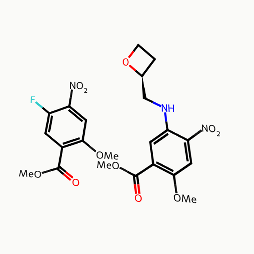 COC(=O)c1cc(F)c([N+](=O)[O-])cc1OC.COC(=O)c1cc(NC[C@@H]2CCO2)c([N+](=O)[O-])cc1OC